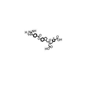 N=C(N)Nc1ccc(C(=O)Oc2ccc3c(c2)CCC3CC(=O)N(CC(=O)O)Cc2csc(C(=O)O)c2)cc1